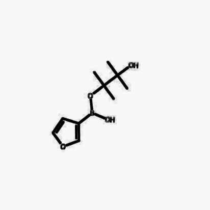 CC(C)(O)C(C)(C)OB(O)c1ccoc1